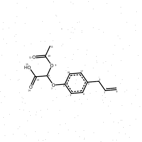 C=CCc1ccc(OC(OC(C)=O)C(=O)O)cc1